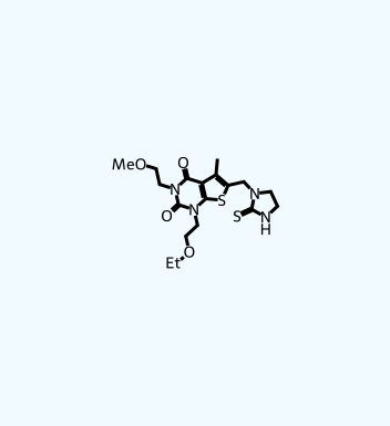 CCOCCn1c(=O)n(CCOC)c(=O)c2c(C)c(CN3CCNC3=S)sc21